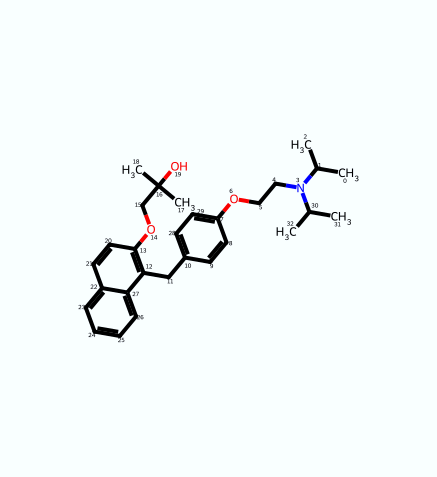 CC(C)N(CCOc1ccc(Cc2c(OCC(C)(C)O)ccc3ccccc23)cc1)C(C)C